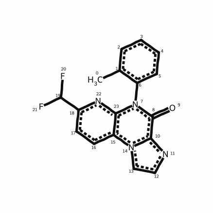 Cc1ccccc1-n1c(=O)c2nccn2c2ccc(C(F)F)nc21